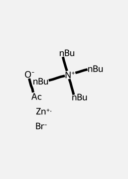 CC(=O)[O-].CCCC[N+](CCCC)(CCCC)CCCC.[Br-].[Zn+]